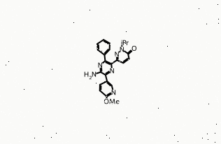 COc1ccc(-c2nc(-c3ccc(=O)n(C(C)C)n3)c(-c3ccccc3)nc2N)cn1